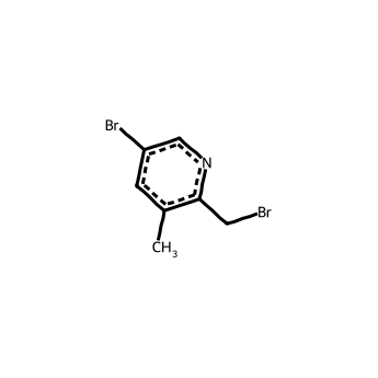 Cc1cc(Br)cnc1CBr